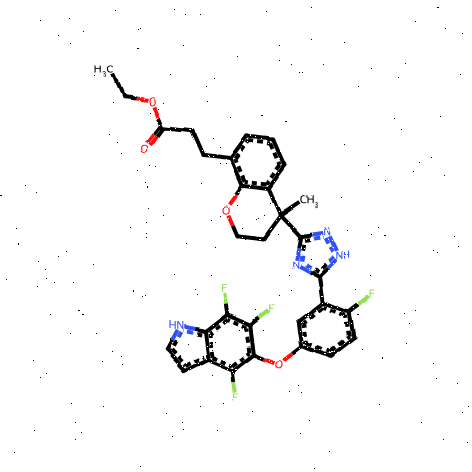 CCOC(=O)CCc1cccc2c1OCCC2(C)c1n[nH]c(-c2cc(Oc3c(F)c(F)c4[nH]ccc4c3F)ccc2F)n1